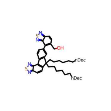 CCCCCCCCCCCCCCCCC1(CCCCCCCCCCCCCCCC)c2cc(-c3c(CO)ccc4nsnc34)ccc2-c2c1ccc1nsnc21